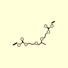 C=COC(=O)OCCOCC(C)OCCOC(=O)OC=C